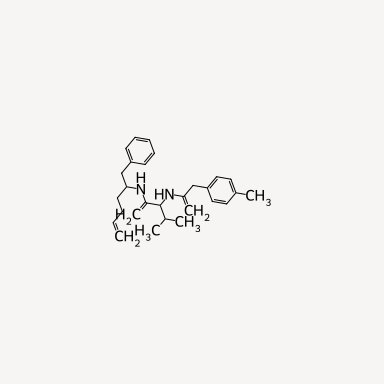 C=CCCC(Cc1ccccc1)NC(=C)C(NC(=C)Cc1ccc(C)cc1)C(C)C